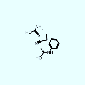 CCC#N.NC(O)=S.OC(=S)Nc1ccccc1